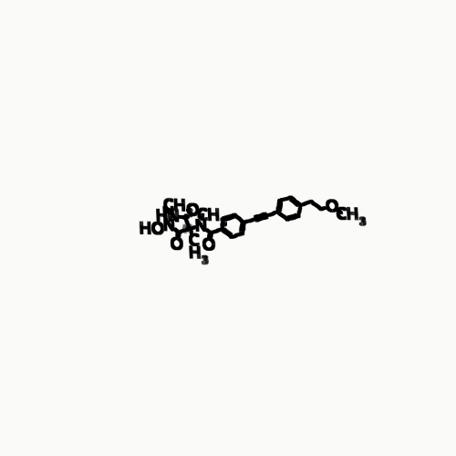 CNC(=O)[C@@](C)(C(=O)NO)N(C)C(=O)c1ccc(C#Cc2ccc(CCOC)cc2)cc1